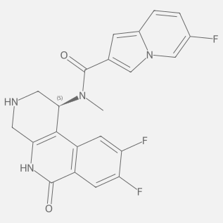 CN(C(=O)c1cc2ccc(F)cn2c1)[C@@H]1CNCc2[nH]c(=O)c3cc(F)c(F)cc3c21